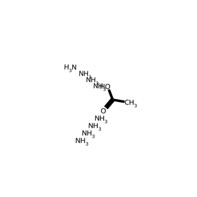 CC(=O)O.N.N.N.N.N.N.N.N